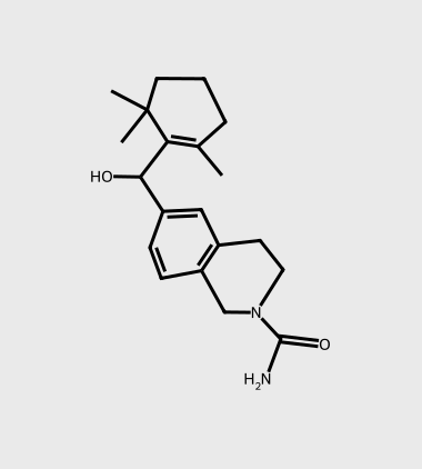 CC1=C(C(O)c2ccc3c(c2)CCN(C(N)=O)C3)C(C)(C)CCC1